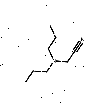 [CH2]CCN(CC#N)CCC